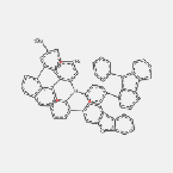 CC(C)(C)c1cc(-c2cccc3cccc(-c4ccccc4N(c4ccc(-c5cccc6c7ccccc7n(-c7ccccc7)c56)cc4)c4ccccc4-c4ccc5c(c4)oc4ccccc45)c23)cc(C(C)(C)C)c1